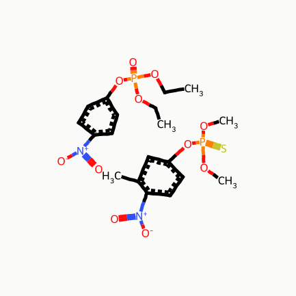 CCOP(=O)(OCC)Oc1ccc([N+](=O)[O-])cc1.COP(=S)(OC)Oc1ccc([N+](=O)[O-])c(C)c1